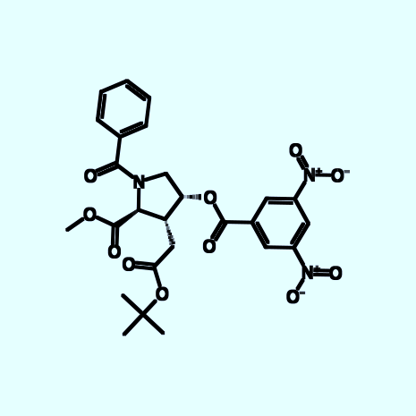 COC(=O)[C@@H]1[C@@H](CC(=O)OC(C)(C)C)[C@@H](OC(=O)c2cc([N+](=O)[O-])cc([N+](=O)[O-])c2)CN1C(=O)c1ccccc1